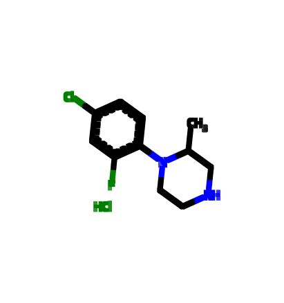 CC1CNCCN1c1ccc(Cl)cc1F.Cl